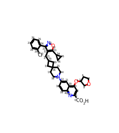 O=C(O)c1cc(OC2CCOC2)c2cc(N3CCC4(CC3)CC(Cc3c(-c5ccccc5C(F)(F)F)noc3C3CC3)C4)ccc2n1